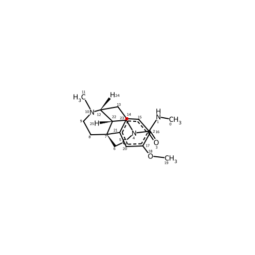 CNC(=O)N1CC[C@]23CCN(C)[C@H](Cc4ccc(OC)cc42)[C@@H]3C1